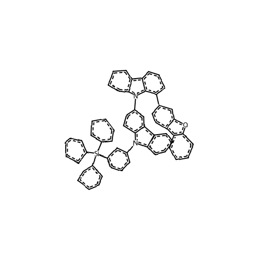 c1ccc([Si](c2ccccc2)(c2ccccc2)c2cccc(-n3c4ccccc4c4cc(-n5c6ccccc6c6cccc(-c7ccc8c(c7)oc7ccccc78)c65)ccc43)c2)cc1